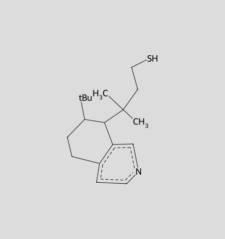 CC(C)(C)C1CCc2ccncc2C1C(C)(C)CCS